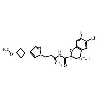 C=C(CCn1cc([C@H]2C[C@@H](OC(F)(F)F)C2)cn1)NC(=O)[C@@H]1C[C@@H](O)c2cc(Cl)c(F)cc2O1